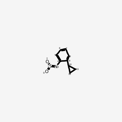 O=S(=O)=Nc1ccccc1C1CC1